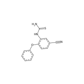 N#Cc1ccc(Oc2ccccc2)c(NC(N)=S)c1